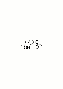 CCC(=O)Oc1ccc(C(C)C(O)CC)cc1